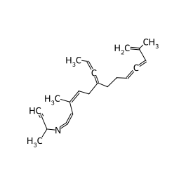 C#CC(C)N=C=C/C(C)=C\CC(=C=CC)CCC=C=CC(=C)C